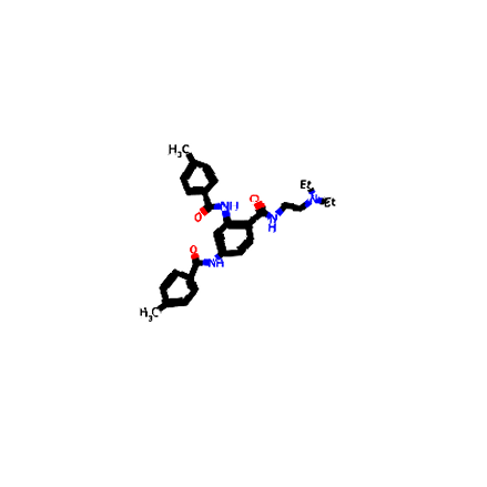 CCN(CC)CCNC(=O)c1ccc(NC(=O)c2ccc(C)cc2)cc1NC(=O)c1ccc(C)cc1